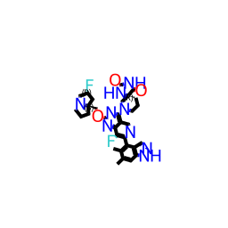 Cc1cc2[nH]ncc2c(-c2ncc3c(N4CCC[C@]5(C4)NC(=O)NC5=O)nc(OC[C@@]45CCCN4C[C@H](F)C5)nc3c2F)c1C